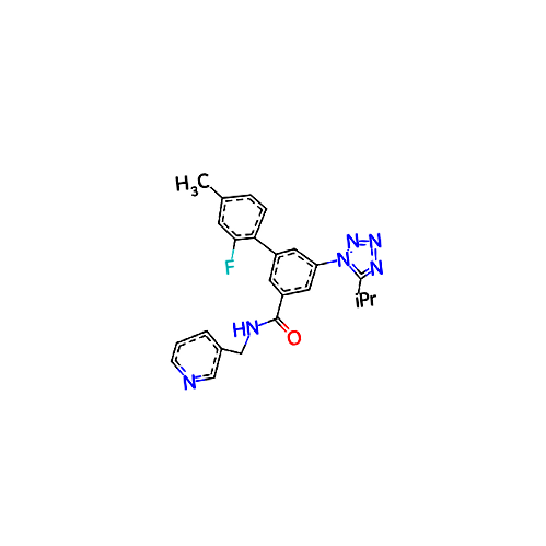 Cc1ccc(-c2cc(C(=O)NCc3cccnc3)cc(-n3nnnc3C(C)C)c2)c(F)c1